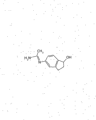 C/C(N)=N\c1ccc2c(c1)CCC2O